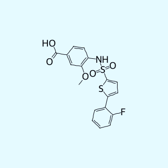 COc1cc(C(=O)O)ccc1NS(=O)(=O)c1ccc(-c2ccccc2F)s1